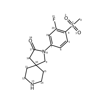 CS(=O)(=O)c1ccc(N2CC3(CCNCC3)CC2=O)cc1F